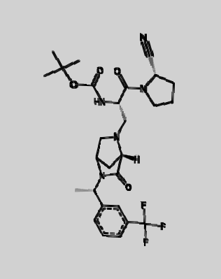 C[C@@H](c1cccc(C(F)(F)F)c1)N1C(=O)[C@@H]2CC1CN2C[C@H](NC(=O)OC(C)(C)C)C(=O)N1CCC[C@H]1C#N